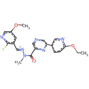 CCOc1ccc(-c2cncc(C(=O)N(C)/N=C/c3cc(OC)cnc3F)n2)cn1